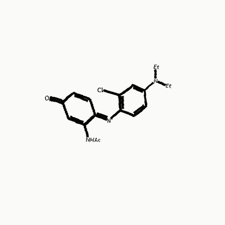 CCN(CC)c1ccc(N=C2C=CC(=O)C=C2NC(C)=O)c(Cl)c1